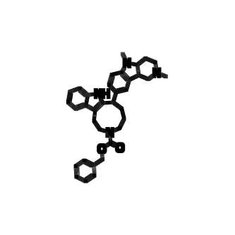 CN1CCC2C(C1)c1cc(C3CCCN(C(=O)OCc4ccccc4)CCc4c3[nH]c3ccccc43)ccc1N2C